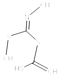 C=C(S)S/C(=N\C)SC